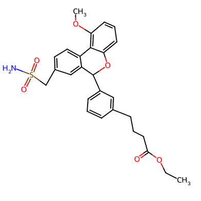 CCOC(=O)CCCc1cccc(C2Oc3cccc(OC)c3-c3ccc(CS(N)(=O)=O)cc32)c1